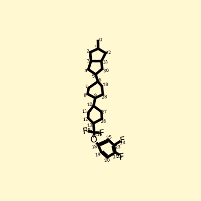 CC1CC2CC(C3CCC(C4CCC(C(F)(F)Oc5ccc(F)c(F)c5)CC4)CC3)CC2C1